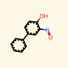 O=Nc1cc(-c2ccccc2)ccc1O